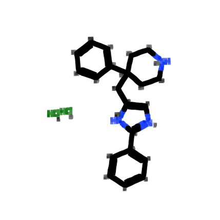 Cl.Cl.c1ccc(-c2ncc(CC3(c4ccccc4)CCNCC3)[nH]2)cc1